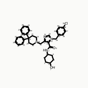 O=C(NC1CCC(O)CC1)c1c(CN2CCC(c3ccccc3)(c3ccccc3)CC2)ncn1Cc1ccc(Cl)cc1